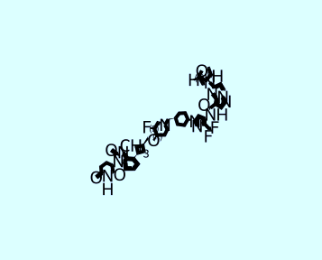 Cn1c(=O)n(C2CCC(=O)NC2=O)c2cccc([C@H]3C[C@H](CO[C@@H]4CCN(C[C@H]5CC[C@H](n6cc(NC(=O)c7cnn8ccc(N9C[C@H]%10C[C@@H]9CO%10)nc78)c(C(F)F)n6)CC5)C[C@@H]4F)C3)c21